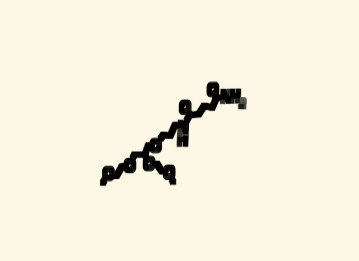 COCCOCC(COCCCNC(=O)CCCC(N)=O)OCCOC